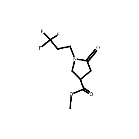 COC(=O)C1CC(=O)N(CCC(F)(F)F)C1